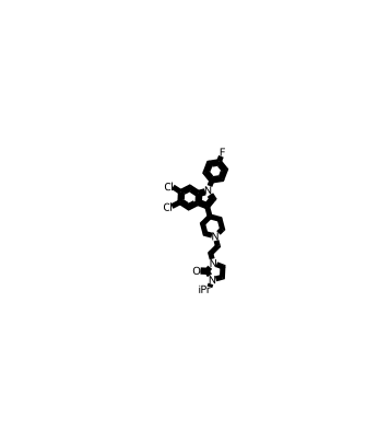 CC(C)N1CCN(CCN2CCC(c3cn(-c4ccc(F)cc4)c4cc(Cl)c(Cl)cc34)CC2)C1=O